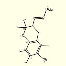 CON=CC1Cc2c(C)c(O)c(C)c(C)c2OC1(C)C